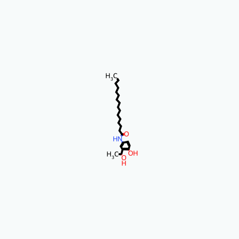 CCCCCCCCCCCCCCCC(=O)Nc1ccc(O)c(C(C)O)c1